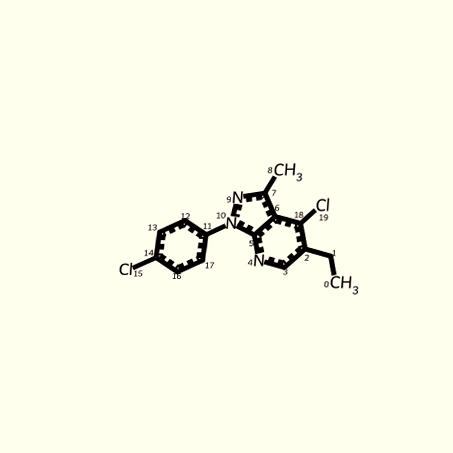 CCc1cnc2c(c(C)nn2-c2ccc(Cl)cc2)c1Cl